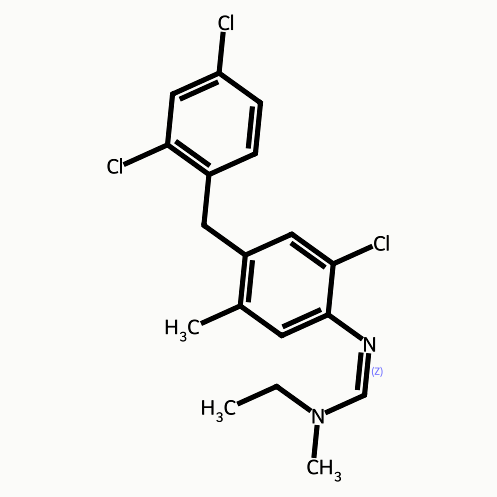 CCN(C)/C=N\c1cc(C)c(Cc2ccc(Cl)cc2Cl)cc1Cl